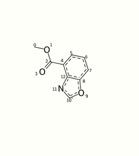 COC(=O)c1cccc2o[c]nc12